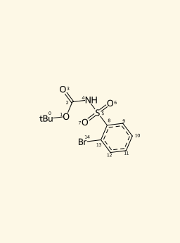 CC(C)(C)OC(=O)NS(=O)(=O)c1ccccc1Br